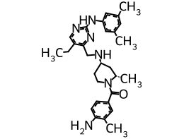 CCc1cnc(Nc2cc(C)cc(C)c2)nc1CN[C@@H]1CCN(C(=O)c2ccc(N)c(C)c2)[C@@H](C)C1